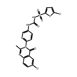 Cc1nc2ccc(Cl)cc2c(=O)n1-c1ccc(NC(=O)NS(=O)(=O)c2ccc(Cl)s2)cn1